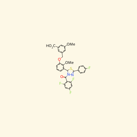 COc1cc(COc2cccc(C3SC(c4ccc(F)cc4)=NN3C(=O)c3c(F)cc(F)cc3F)c2OC)cc(C(=O)O)c1